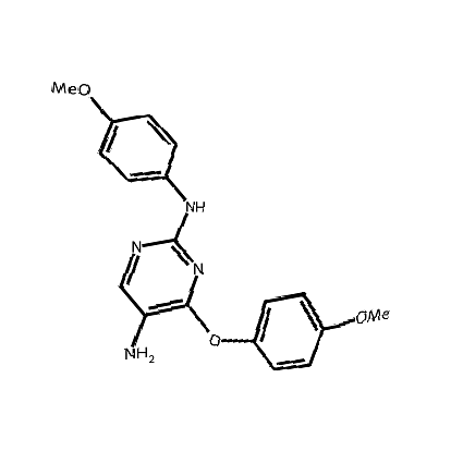 COc1ccc(Nc2ncc(N)c(Oc3ccc(OC)cc3)n2)cc1